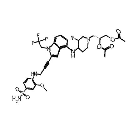 COc1cc(S(N)(=O)=O)ccc1NCC#Cc1cc2c(NC3CCN(C[C@H](COC(C)=O)OC(C)=O)CC3F)cccc2n1CC(F)(F)F